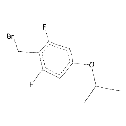 CC(C)Oc1cc(F)c(CBr)c(F)c1